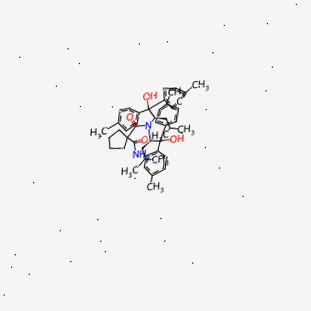 Cc1ccc(C(O)(c2ccc(C)cc2)[C@@H](CC(C)C)N(C(=O)C2(C(N)=O)CCCC2)[C@H](CC(C)C)C(O)(c2ccc(C)cc2)c2ccc(C)cc2)cc1